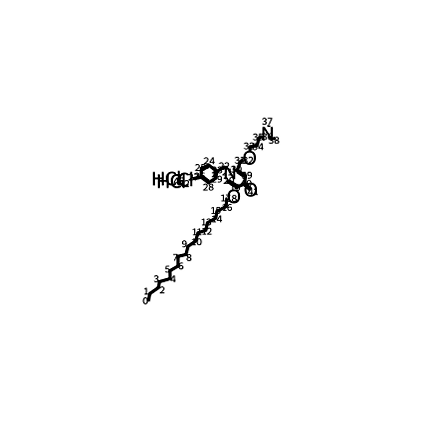 CCCCCCCCCCCCCCCCCCOc1cn(Cc2ccc(Cl)cc2)c(COCCCN(C)C)cc1=O.Cl.Cl